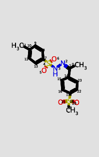 CC(=NNS(=O)(=O)c1ccc(C)cc1)c1ccc(S(C)(=O)=O)cc1